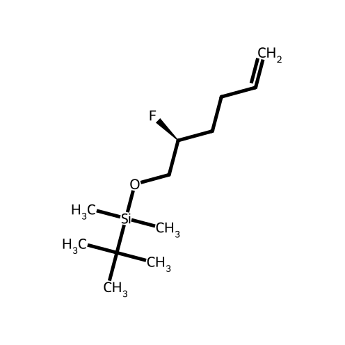 C=CCC[C@H](F)CO[Si](C)(C)C(C)(C)C